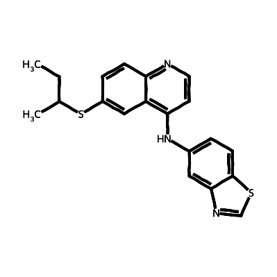 CCC(C)Sc1ccc2nccc(Nc3ccc4scnc4c3)c2c1